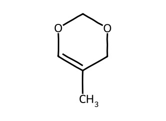 CC1=COCOC1